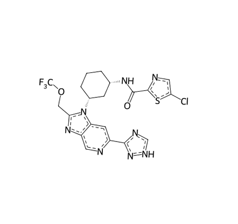 O=C(N[C@H]1CCC[C@@H](n2c(COC(F)(F)F)nc3cnc(-c4nc[nH]n4)cc32)C1)c1ncc(Cl)s1